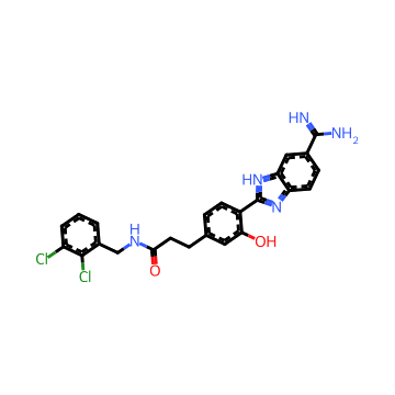 N=C(N)c1ccc2nc(-c3ccc(CCC(=O)NCc4cccc(Cl)c4Cl)cc3O)[nH]c2c1